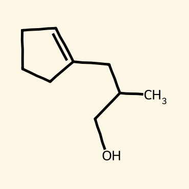 CC(CO)CC1=CCCC1